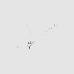 CC(C)(C)[Si](C)(C)OC(CCCCCCO)CCCCCCCCC(=O)O